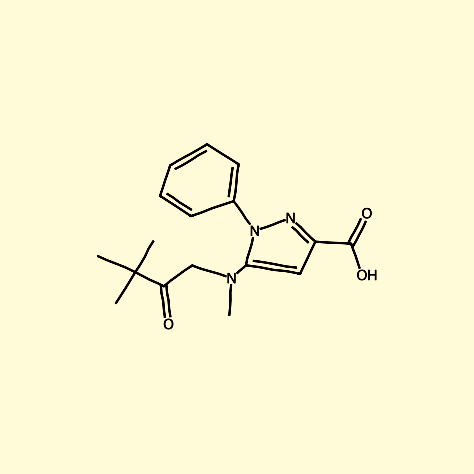 CN(CC(=O)C(C)(C)C)c1cc(C(=O)O)nn1-c1ccccc1